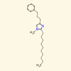 CCCCCCCCCCc1nc(CCCc2ccccc2)cn1C